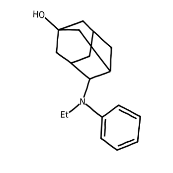 CCN(c1ccccc1)C1C2CC3CC1CC(O)(C3)C2